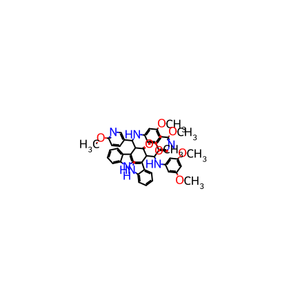 COc1cc(NC(c2ccc(OC)nc2)C(C(=O)C(c2c[nH]c3ccccc23)C(Nc2cc(OC)cc(OC)c2)c2ccc(OC)nc2)c2c[nH]c3ccccc23)cc(OC)c1